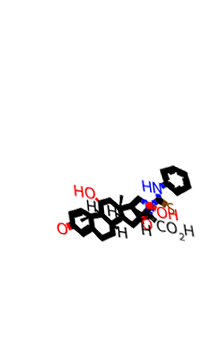 C[C@]12C=CC(=O)C=C1CC[C@@H]1[C@@H]2[C@@H](O)C[C@@]2(C)[C@H]1C[C@H]1C(C(=O)O)N(C(=S)Nc3ccccc3)C[C@]12C(=O)CO